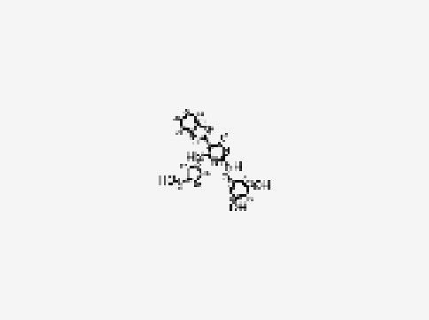 Cc1nc(NCc2cc(O)cc(O)c2)nc(N[C@H]2CC[C@@H](CO)C2)c1-c1nc2ccccc2s1